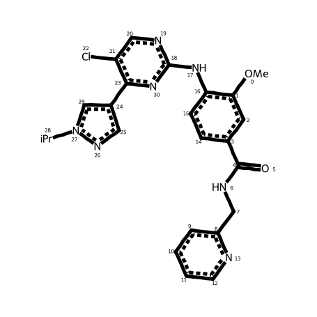 COc1cc(C(=O)NCc2ccccn2)ccc1Nc1ncc(Cl)c(-c2cnn(C(C)C)c2)n1